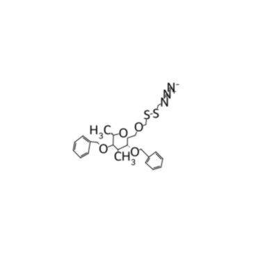 C[C@@H]1C(OCc2ccccc2)[C@@H](C)OC(COCSSCN=[N+]=[N-])[C@@H]1OCc1ccccc1